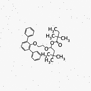 CCC(C)(C)C(=O)OC(CC(C)(C)C)OCCOc1c(-c2ccccc2)cccc1-c1ccccc1